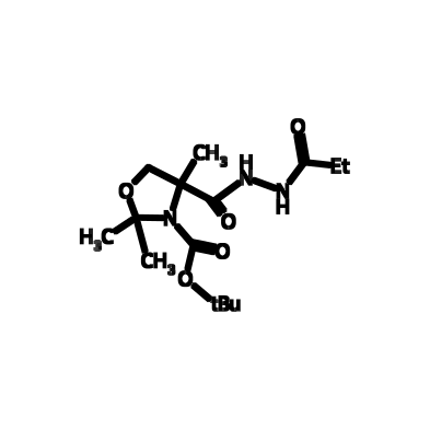 CCC(=O)NNC(=O)C1(C)COC(C)(C)N1C(=O)OC(C)(C)C